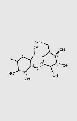 CC(=O)OCC1O[C@@H](O[C@@H]2C(COC(C)=O)OC(C)C(O)[C@H]2O)C(O)[C@@H](O)[C@@H]1O